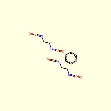 O=C=NCCN=C=O.O=C=NCCN=C=O.c1ccccc1